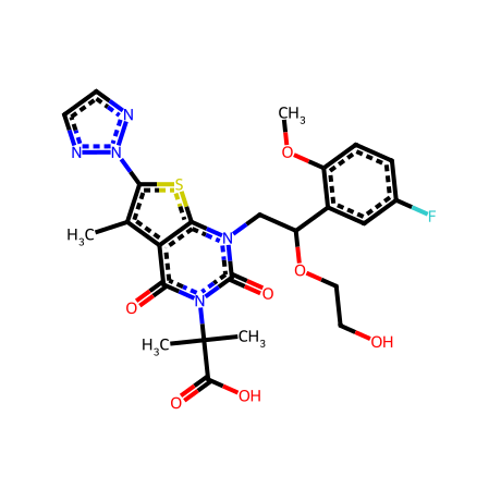 COc1ccc(F)cc1C(Cn1c(=O)n(C(C)(C)C(=O)O)c(=O)c2c(C)c(-n3nccn3)sc21)OCCO